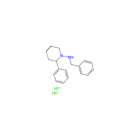 Cl.Cl.c1ccc(CNN2CCCCC2c2ccccc2)cc1